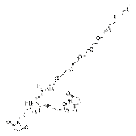 COCCOCCOCCOCCOCCOCCOCCOCCNC(=O)CC[C@H](NC(=O)CCCN1C(=O)C=CC1=O)C(=O)NCCCC(=O)ON1C(=O)CCC1=O